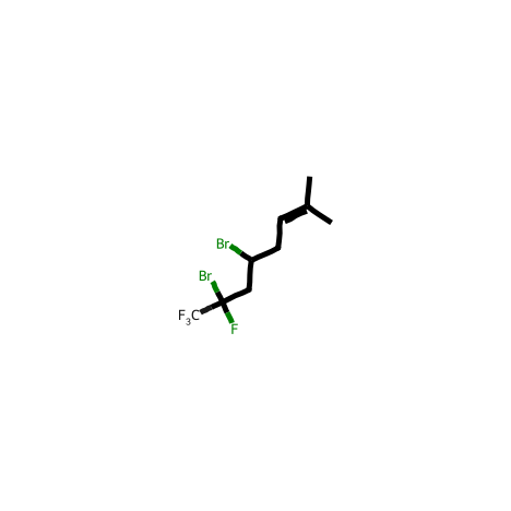 CC(C)=CCC(Br)CC(F)(Br)C(F)(F)F